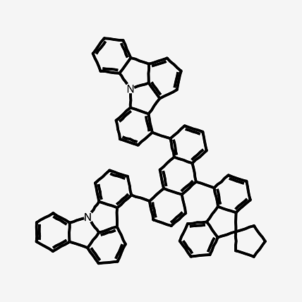 c1ccc2c(c1)-c1c(-c3c4cccc(-c5cccc6c5c5cccc7c8ccccc8n6c75)c4cc4c(-c5cccc6c5c5cccc7c8ccccc8n6c75)cccc34)cccc1C21CCCC1